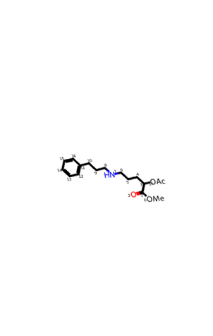 COC(=O)C(CCCNCCCc1ccccc1)OC(C)=O